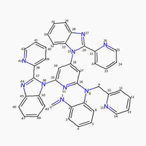 C=Nc1ccccc1N(Cc1ccccn1)c1cc(-n2c(-c3ccccn3)nc3ccccc32)cc(-n2c(-c3ccccn3)nc3ccccc32)n1